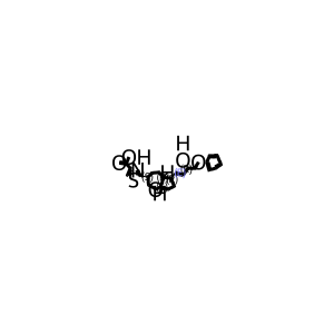 O=C(O)c1csc([C@H]2CC[C@H]3[C@H](CC[C@@H]3/C=C/[C@@H](O)COc3ccccc3)OC2)n1